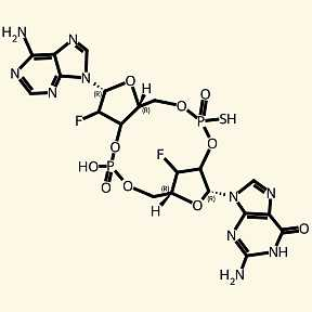 Nc1nc2c(ncn2[C@@H]2O[C@@H]3COP(=O)(O)OC4C(F)[C@H](n5cnc6c(N)ncnc65)O[C@@H]4COP(=O)(S)OC2C3F)c(=O)[nH]1